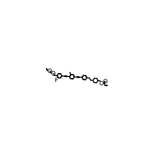 C=COCOCc1ccc(C#Cc2ccc(C#Cc3ccc(CCC4CCC(COC(=O)C=C)CC4)cc3)cc2C)cc1F